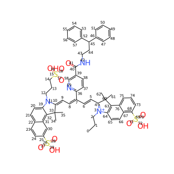 CCC[N+]1=C(/C=C/C(=C/C=C2/N(CCCS(=O)(=O)O)c3ccc4ccc(S(=O)(=O)O)cc4c3C2(C)C)c2ccc(C(=O)NCCC(c3ccccc3)c3ccccc3)cn2)C(C)(C)c2c1ccc1c(S(=O)(=O)O)cccc21